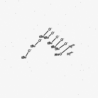 CC(C)(C)[O-].CC(C)(C)[O-].CC(C)(C)[O-].CC(C)(C)[O-].CC(C)(C)[O-].CC(C)(C)[O-].CC(C)(C)[O-].C[O][Hf+3].[Hf+4]